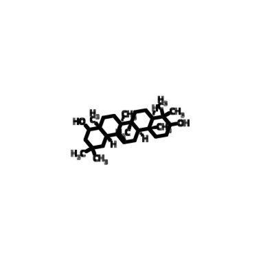 CC1(C)CC(O)[C@]2(C)CC[C@]3(C)C(=CC[C@@H]4[C@@]5(C)CCC(O)C(C)(C)[C@@H]5CC[C@]43C)[C@@H]2C1